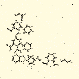 C1=CCC2CCCC2=C1.C=C(C)c1cccc(-c2ccccc2)c1C(=C)C.C=CC(=C)C.C=CC12C=CC(CC1)C2.C=CC=C.C=Cc1cccc(-c2ccccc2)c1C=C.C=Cc1ccccc1C=C